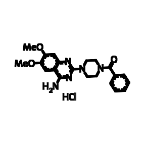 COc1cc2nc(N3CCN(C(=O)c4ccccc4)CC3)nc(N)c2cc1OC.Cl